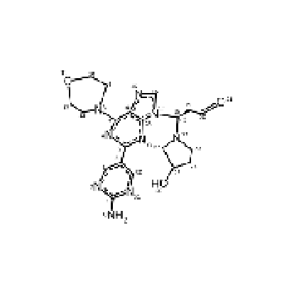 Nc1ncc(-c2nc(N3CCOCC3)c3ncn([C@@H](CC=O)N4CCC(O)C4)c3n2)cn1